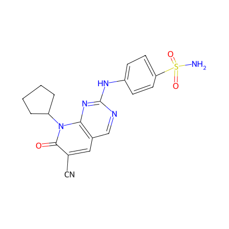 N#Cc1cc2cnc(Nc3ccc(S(N)(=O)=O)cc3)nc2n(C2CCCC2)c1=O